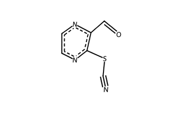 N#CSc1nccnc1C=O